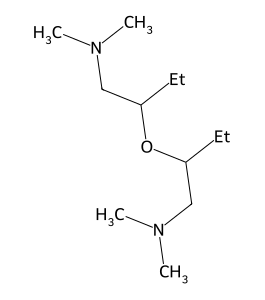 CCC(CN(C)C)OC(CC)CN(C)C